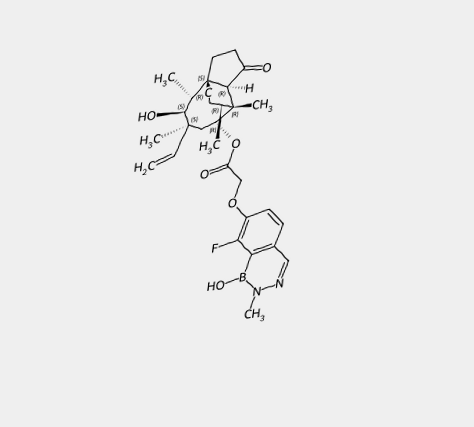 C=C[C@]1(C)C[C@@H](OC(=O)COc2ccc3c(c2F)B(O)N(C)N=C3)[C@]2(C)[C@H](C)CC[C@]3(CCC(=O)[C@H]32)[C@@H](C)[C@@H]1O